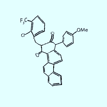 COc1ccc(C2C(=O)C(Cc3cccc(C(F)(F)F)c3Cl)C(=O)c3c2ccc2c3ccc3ccccc32)cc1